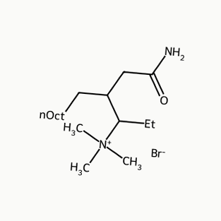 CCCCCCCCCC(CC(N)=O)C(CC)[N+](C)(C)C.[Br-]